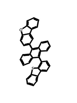 c1ccc2c(c1)oc1ccc(-c3c4ccccc4c(-c4cccc5c4sc4ccccc45)c4ccccc34)cc12